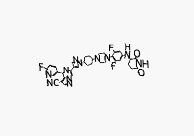 N#Cc1cnn2cc(-c3cnn(C4CCC(N5CCN(c6c(F)cc(NC7CCC(=O)NC7=O)cc6F)CC5)CC4)c3)nc(-c3ccc(F)nc3)c12